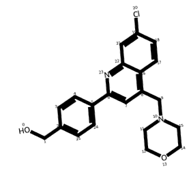 OCc1ccc(-c2cc(CN3CCOCC3)c3ccc(Cl)cc3n2)cc1